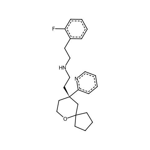 Fc1ccccc1CCNCC[C@]1(c2ccccn2)CCOC2(CCCC2)C1